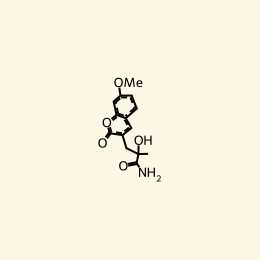 COc1ccc2cc(CC(C)(O)C(N)=O)c(=O)oc2c1